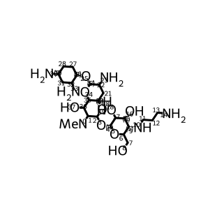 CNC1C(O[C@H]2OC(CO)[C@@H](NCCCN)[C@H](O)C2O)O[C@H]2CC(N)[C@@H](O[C@H]3CC[C@H](N)CC3N)OC2C1O